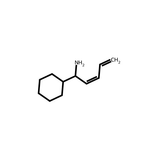 C=C/C=C\C(N)C1CCCCC1